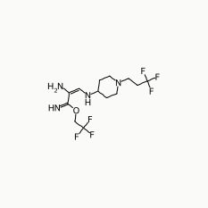 N=C(OCC(F)(F)F)/C(N)=C\NC1CCN(CCC(F)(F)F)CC1